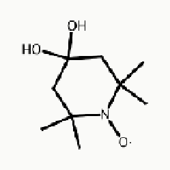 CC1(C)CC(O)(O)CC(C)(C)N1[O]